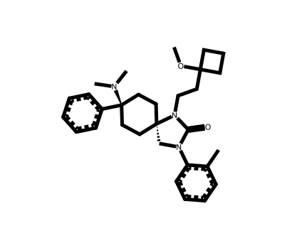 COC1(CCN2C(=O)N(c3ccccc3C)C[C@]23CC[C@](c2ccccc2)(N(C)C)CC3)CCC1